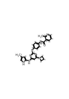 Cc1c[nH]c(Nc2cc(N3CCC3)nc(Sc3ccc(NC(=O)c4cccnc4C)cc3)n2)c1